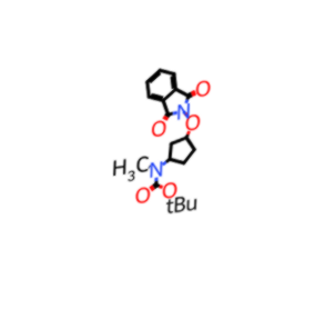 CN(C(=O)OC(C)(C)C)C1CCC(ON2C(=O)c3ccccc3C2=O)C1